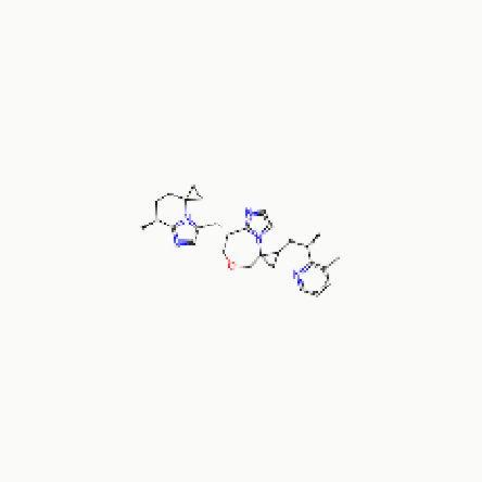 Cc1cccnc1[C@H](C)CC1CC12COC[C@H](Cc1cnc3n1C1(CC[C@@H]3C)CC1)c1nccn12